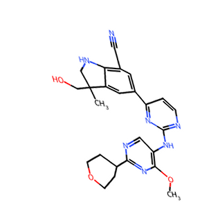 COc1nc(C2CCOCC2)ncc1Nc1nccc(-c2cc(C#N)c3c(c2)C(C)(CO)CN3)n1